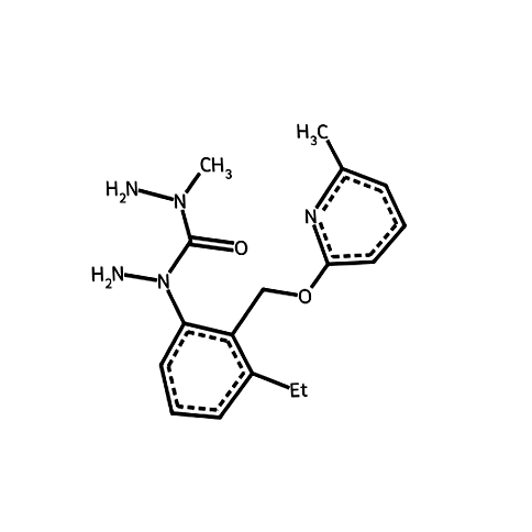 CCc1cccc(N(N)C(=O)N(C)N)c1COc1cccc(C)n1